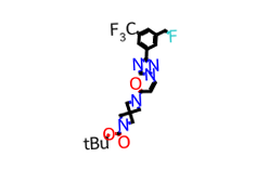 CC(C)(C)OC(=O)N1CC2(CN(C(=O)/C=C\n3cnc(-c4cc(CF)cc(C(F)(F)F)c4)n3)C2)C1